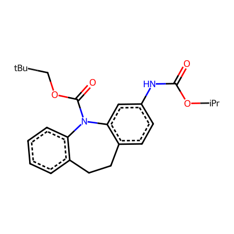 CC(C)OC(=O)Nc1ccc2c(c1)N(C(=O)OCC(C)(C)C)c1ccccc1CC2